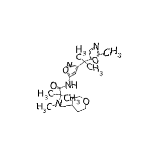 Cc1ncc(C(C)(C)c2cc(NC(=O)C(C)(C)N(C)CC3CCOCC3)on2)o1